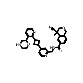 CC1(C#N)COCc2ccc(C(=O)NCc3cc(C4CC(c5ncccc5C5CNCCO5)C4)ccn3)cc21